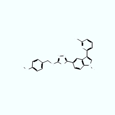 COc1ccc(CNc2nnc(-c3ccc4c(c3)c(-c3cccc(Cl)n3)cn4P)o2)cc1